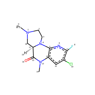 CC(C)N1CCN2c3nc(F)c(Cl)cc3N(C)C(=O)[C@H]2C1